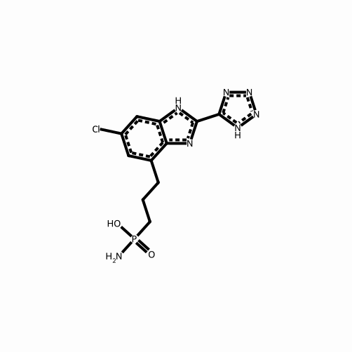 NP(=O)(O)CCCc1cc(Cl)cc2[nH]c(-c3nnn[nH]3)nc12